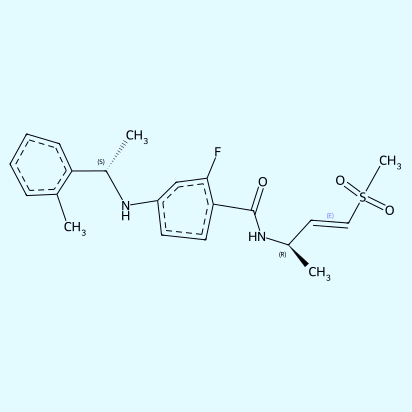 Cc1ccccc1[C@H](C)Nc1ccc(C(=O)N[C@H](C)/C=C/S(C)(=O)=O)c(F)c1